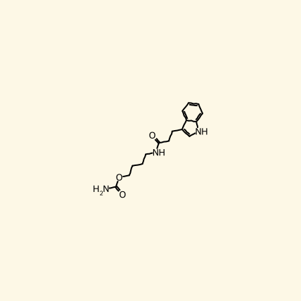 NC(=O)OCCCCNC(=O)CCc1c[nH]c2ccccc12